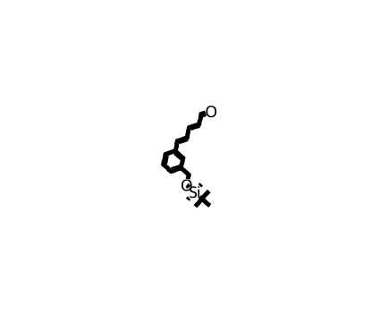 CC(C)(C)[Si](C)(C)OCc1cccc(/C=C/C=C/C=O)c1